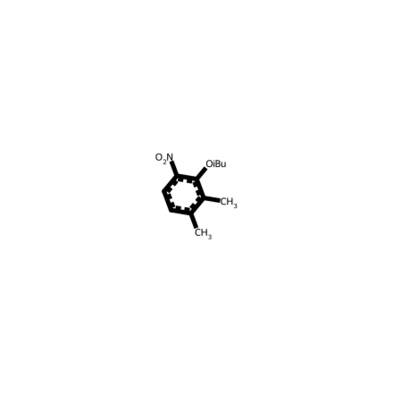 Cc1ccc([N+](=O)[O-])c(OCC(C)C)c1C